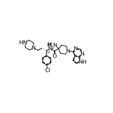 NC1(C(=O)N[C@@H](CCN2CCNCC2)c2ccc(Cl)cc2)CCN(c2ncnc3[nH]ccc23)CC1